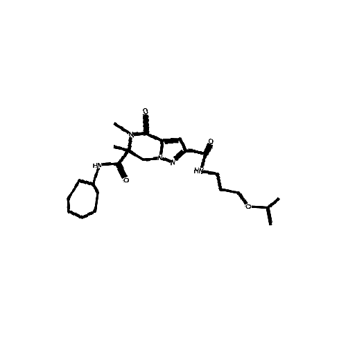 CC(C)OCCCNC(=O)c1cc2n(n1)CC(C)(C(=O)NC1CCCCCC1)N(C)C2=O